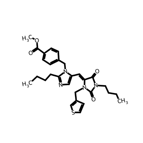 CCCCc1ncc(/C=C2/C(=O)N(CCCC)C(=O)N2Cc2ccsc2)n1Cc1ccc(C(=O)OC)cc1